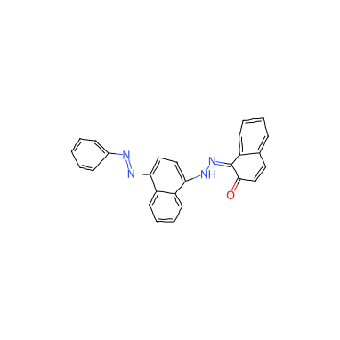 O=C1C=Cc2ccccc2C1=NNc1ccc(N=Nc2ccccc2)c2ccccc12